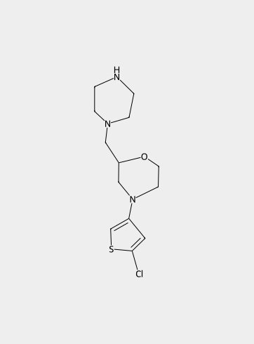 Clc1cc(N2CCOC(CN3CCNCC3)C2)cs1